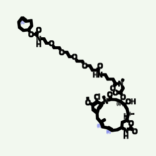 COc1cc2cc(c1Cl)N(C)C(=O)C[C@H](OC(=O)CN(C)C(=O)CCCNC(=O)CCOCCOCCOCCOCCNC(=O)OC1CC/C=C/CCC1)[C@H](O)C[C@H](C)[C@@H]1CC(C/C=C/C=C(\C)C2)NC(=O)O1